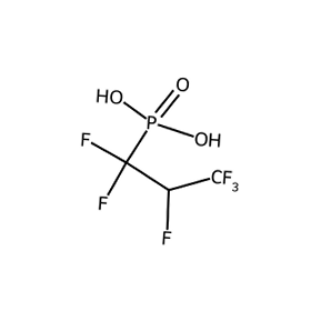 O=P(O)(O)C(F)(F)C(F)C(F)(F)F